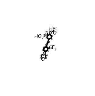 CCC(=O)NC1=CC=C(C#Cc2ccc(N3CCOCC3)cc2C(F)(F)F)CC1(C)C(=O)O